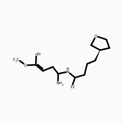 CCC/C(=C\CC(N)NC(CC)CCC[C@@H]1CCOC1)OC(F)(F)F